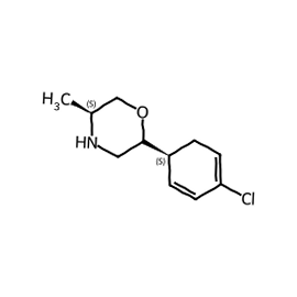 C[C@H]1COC([C@@H]2C=CC(Cl)=CC2)CN1